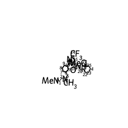 CNCCN(C)Cc1cccc(-n2nc(C(F)(F)F)cc2C(=O)NCC2=CCCC=C2OC)c1